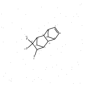 FC1C2CC(C3C4C=CC(C4)C23)C1(F)F